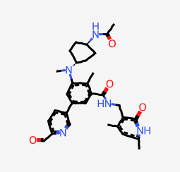 CC(=O)N[C@H]1CC[C@H](N(C)c2cc(-c3ccc(C=O)nc3)cc(C(=O)NCc3c(C)cc(C)[nH]c3=O)c2C)CC1